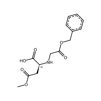 COC(=O)C[C@H](NCC(=O)OCc1ccccc1)C(=O)O